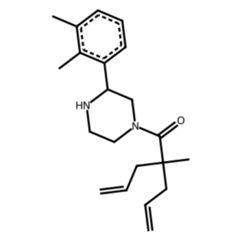 C=CCC(C)(CC=C)C(=O)N1CCNC(c2cccc(C)c2C)C1